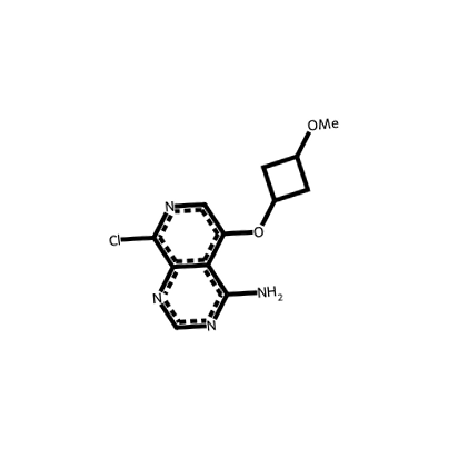 COC1CC(Oc2cnc(Cl)c3ncnc(N)c23)C1